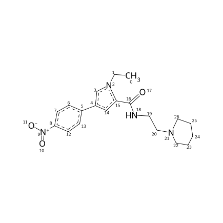 CCn1cc(-c2ccc([N+](=O)[O-])cc2)cc1C(=O)NCCN1CCCCC1